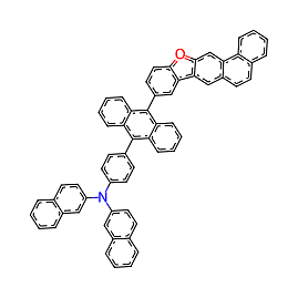 c1ccc2cc(N(c3ccc(-c4c5ccccc5c(-c5ccc6oc7cc8c(ccc9ccccc98)cc7c6c5)c5ccccc45)cc3)c3ccc4ccccc4c3)ccc2c1